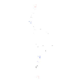 CC1(CN=C=O)CCC(N=C=O)CC1